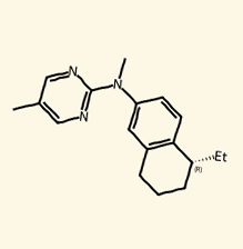 CC[C@@H]1CCCc2cc(N(C)c3ncc(C)cn3)ccc21